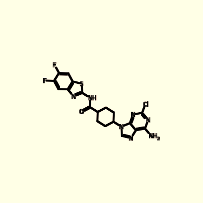 Nc1nc(Cl)nc2c1ncn2C1CCC(C(=O)Nc2nc3cc(F)c(F)cc3s2)CC1